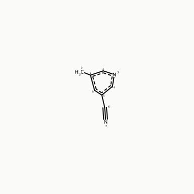 Cc1cn[c]c(C#N)c1